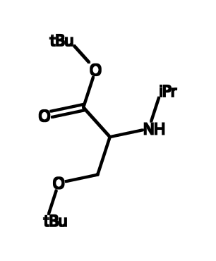 CC(C)NC(COC(C)(C)C)C(=O)OC(C)(C)C